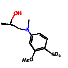 COc1cc(N(C)C[C@@H](C)O)ccc1[N+](=O)[O-]